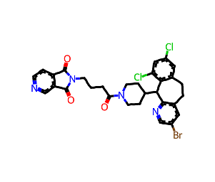 O=C(CCCN1C(=O)c2ccncc2C1=O)N1CCC(C2c3ncc(Br)cc3CCc3cc(Cl)cc(Cl)c32)CC1